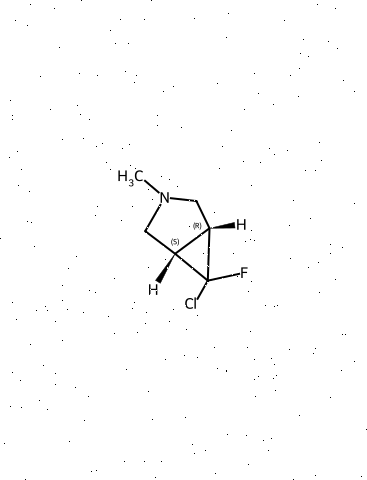 CN1C[C@@H]2[C@H](C1)C2(F)Cl